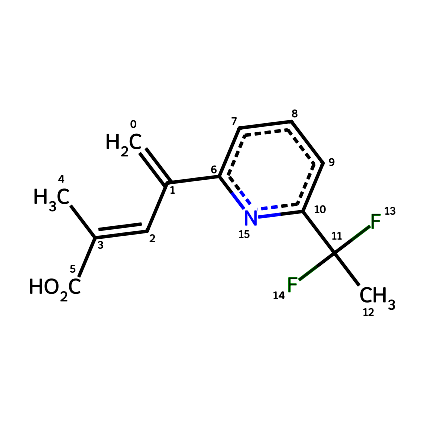 C=C(/C=C(\C)C(=O)O)c1cccc(C(C)(F)F)n1